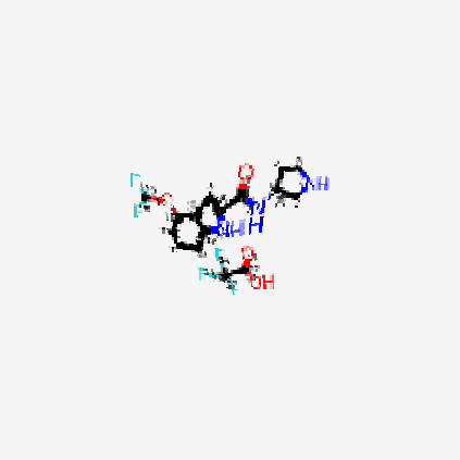 O=C(N[C@@H]1CCNC1)c1cc2c(OC(F)F)cccc2[nH]1.O=C(O)C(F)(F)F